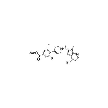 COC(=O)c1cc(F)c(C2=CCN(C(C)c3cc4c(Br)ccnc4n3C)CC2)c(F)c1